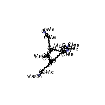 COC(=O)/C=C/c1ccc(OCCCCCCCCOc2cc(COc3cc(OCc4cc(OCCCCCCCCOc5ccc(/C=C/C(=O)OC)cc5OC)cc(OCCCCCCCCOc5ccc(/C=C/C(=O)OC)cc5OC)c4)cc(C(=O)OC)c3)cc(OCCCCCCCCOc3ccc(/C=C/C(=O)OC)cc3OC)c2)c(OC)c1